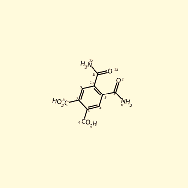 NC(=O)c1cc(C(=O)O)c(C(=O)O)cc1C(N)=O